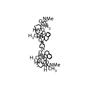 CN[C@@H](C)C(=O)N[C@H]1CCS[C@H]2CC(C)(C)[C@@H](C(=O)N[C@H]3c4ccccc4CC[C@H]3C(=O)N3CCN(C(=O)[C@@H]4CCc5ccccc5[C@@H]4NC(=O)[C@H]4N5C(=O)[C@@H](NC(=O)[C@H](C)NC)CCS[C@H]5CC4(C)C)CC3)N2C1=O